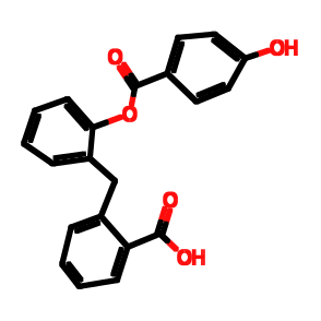 O=C(Oc1ccccc1Cc1ccccc1C(=O)O)c1ccc(O)cc1